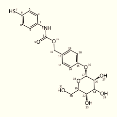 O=C(Nc1ccc(S)cc1)OCc1ccc(O[C@@H]2OC(CO)[C@H](O)C(O)[C@@H]2O)cc1